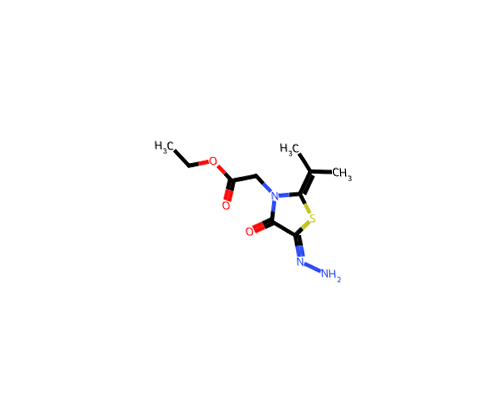 CCOC(=O)CN1C(=O)C(=NN)SC1=C(C)C